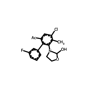 CC(=O)c1cc(Cl)c(C)c(N2CCOC2O)c1-c1cccc(F)c1